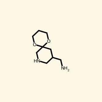 NCC1CNCC2(C1)OCCCO2